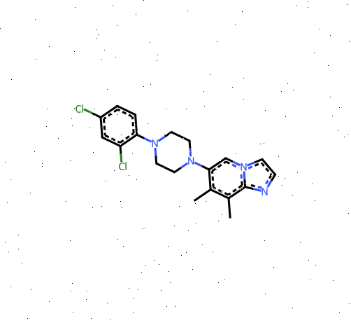 Cc1c(N2CCN(c3ccc(Cl)cc3Cl)CC2)cn2ccnc2c1C